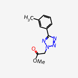 COC(=O)Cn1nnc(-c2cccc(C)c2)n1